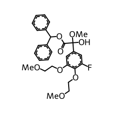 COCCOc1cc(C(O)(OC)C(=O)OC(c2ccccc2)c2ccccc2)cc(F)c1OCCOC